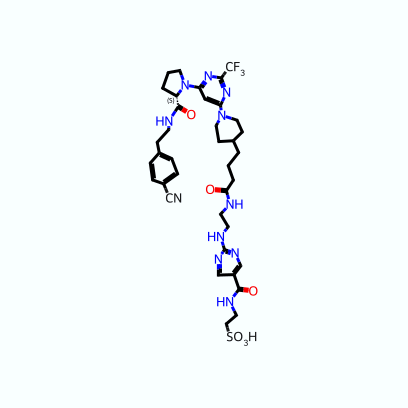 N#Cc1ccc(CCNC(=O)[C@@H]2CCCN2c2cc(N3CCC(CCCC(=O)NCCNc4ncc(C(=O)NCCS(=O)(=O)O)cn4)CC3)nc(C(F)(F)F)n2)cc1